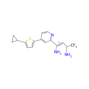 N/C(=C\C(N)C(F)(F)F)c1cc(-c2ccc(C3CC3)s2)ccn1